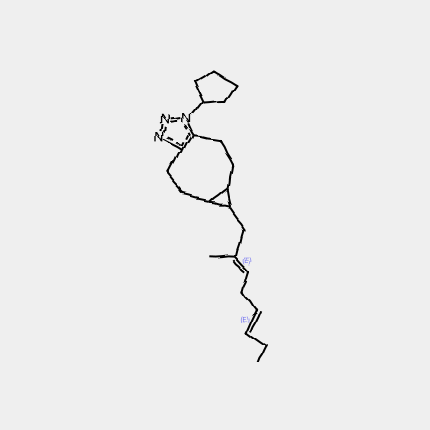 CC/C=C/C/C=C(\C)CC1C2CCc3nnn(C4CCCC4)c3CCC21